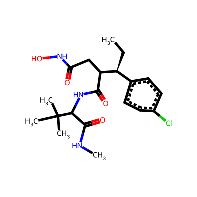 CC[C@@H](c1ccc(Cl)cc1)C(CC(=O)NO)C(=O)NC(C(=O)NC)C(C)(C)C